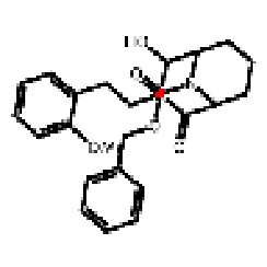 COc1ccccc1CCN1C(=O)C2CCCC(C1O)N2C(=O)OCc1ccccc1